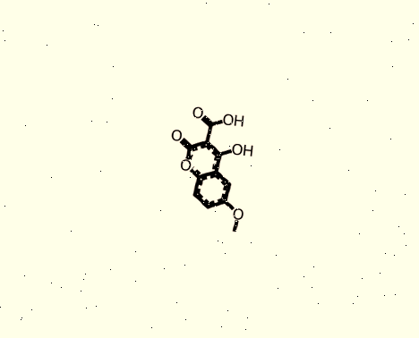 COc1ccc2oc(=O)c(C(=O)O)c(O)c2c1